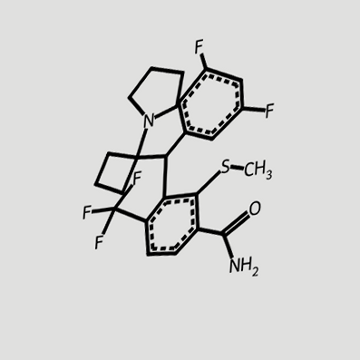 CSc1c(C(N)=O)ccc(C(F)(F)F)c1C(c1cc(F)cc(F)c1)C1(N2CCCC2)CCC1